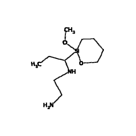 CCC(NCCN)[Si]1(OC)CCCCO1